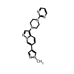 Cn1cc(-c2ccc3c(N4CCN(c5ncccn5)CC4)cnn3c2)cn1